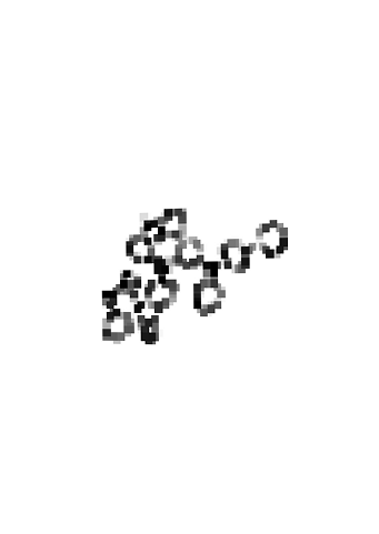 c1ccc(N(c2ccc(C3CCCCC3)cc2)c2cccc(N(c3ccc4c(c3)C3(c5ccccc5Oc5ccccc53)c3ccccc3-4)c3cccc4sc5ccccc5c34)c2)cc1